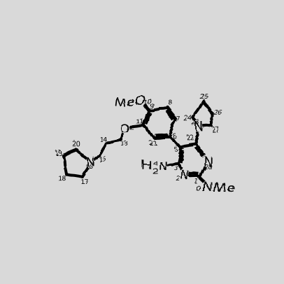 CNc1nc(N)c(-c2ccc(OC)c(OCCCN3CCCC3)c2)c(N2CCCC2)n1